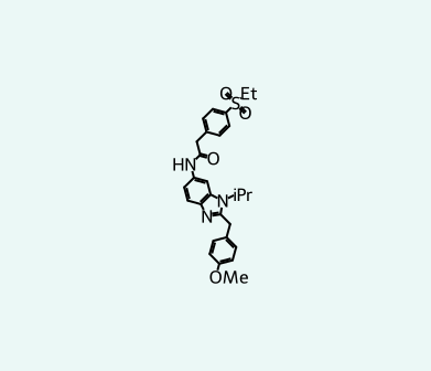 CCS(=O)(=O)c1ccc(CC(=O)Nc2ccc3nc(Cc4ccc(OC)cc4)n(C(C)C)c3c2)cc1